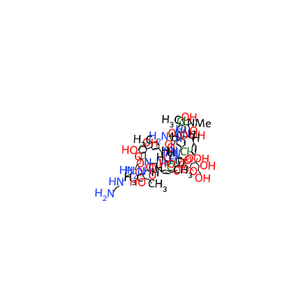 CN[C@H](CC(C)O)C(=O)N[C@H]1C(=O)N[C@@H](CC(N)=O)C(=O)N[C@H]2C(=O)N[C@H]3C(=O)N[C@H](C(=O)N[C@@H](C(=O)OCC(=O)NCCCNCCCN)c4cc(O)cc(O)c4-c4cc3ccc4C)[C@H](O[C@H]3C[C@](C)(N)[C@@H](O)[C@H](C)O3)c3ccc(c(Cl)c3)Oc3cc2cc(c3O[C@@H]2O[C@H](CO)[C@@H](O)[C@H](O)[C@H]2O[C@H]2C[C@](C)(NCc3ccc(-c4ccc(Cl)cc4)cc3)[C@@H](O)[C@H](C)O2)Oc2ccc(cc2Cl)[C@H]1O